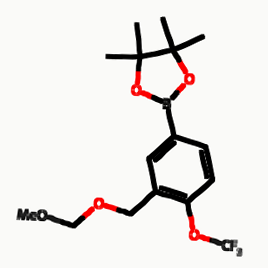 COCOCc1cc(B2OC(C)(C)C(C)(C)O2)ccc1OC(F)(F)F